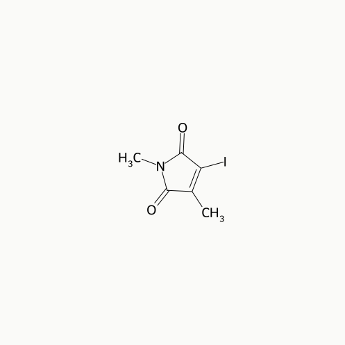 CC1=C(I)C(=O)N(C)C1=O